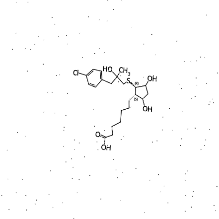 CC(O)(CS[C@H]1C(O)CC(O)[C@@H]1CCCCCCC(=O)O)Cc1ccc(Cl)cc1